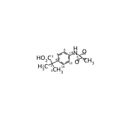 CC(C)(C(=O)O)c1ccc(NS(C)(=O)=O)cc1